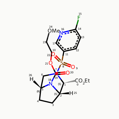 CCOC(=O)[C@@H]1[C@@H]2CC[C@H](CN1S(=O)(=O)c1ccc(F)nc1)N2C(=O)OCCOC